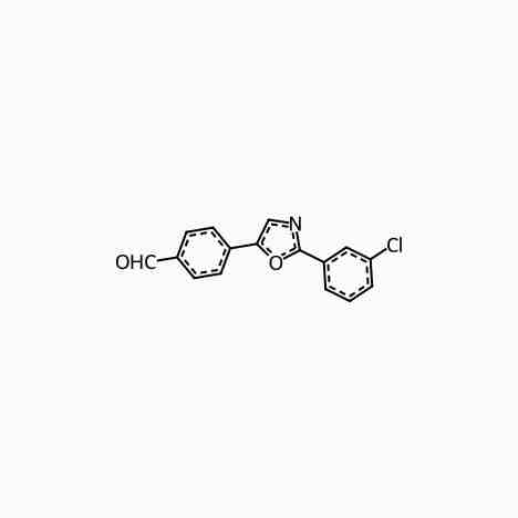 O=Cc1ccc(-c2cnc(-c3cccc(Cl)c3)o2)cc1